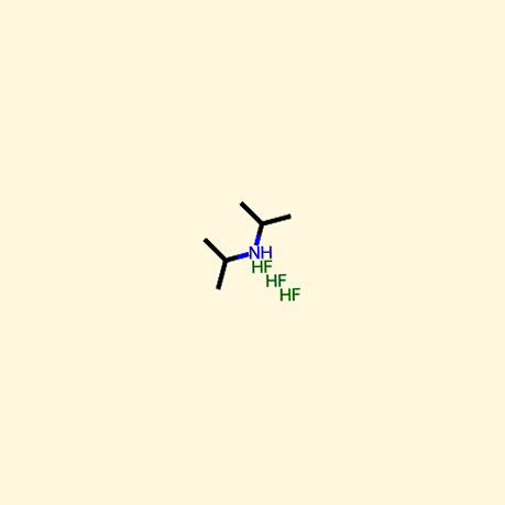 CC(C)NC(C)C.F.F.F